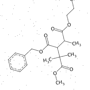 COC(=O)C(C)(C)C(C(=O)OCc1ccccc1)C(C)C(=O)OCCO